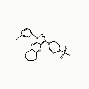 CC(C)S(=O)(=O)N1CCN(c2cnn(-c3cccc(Cl)c3)c(=O)c2OC2CCCCCC2)CC1